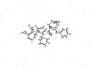 COc1cccc(-n2c(C)cc(C(=O)N3CCNC[C@H]3Cc3ccccc3)c2-c2ccccc2)c1OC